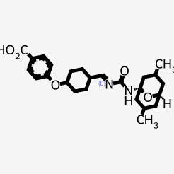 CC1C[C@H]2CC(C)C[C@@](NC(=O)/N=C/C3CCC(Oc4ccc(C(=O)O)cc4)CC3)(C1)O2